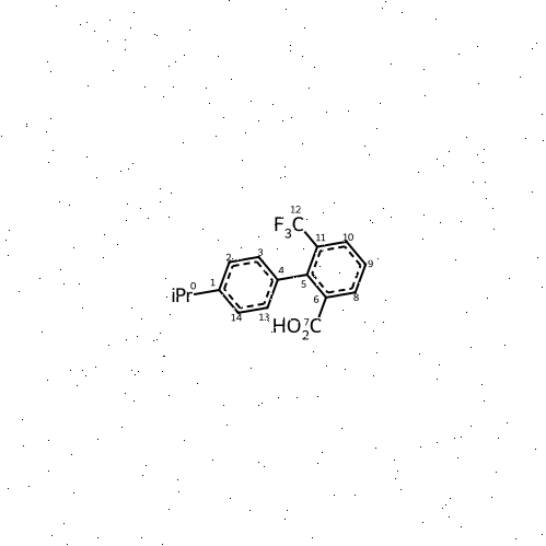 CC(C)c1ccc(-c2c(C(=O)O)cccc2C(F)(F)F)cc1